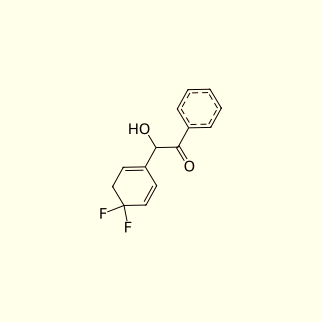 O=C(c1ccccc1)C(O)C1=CCC(F)(F)C=C1